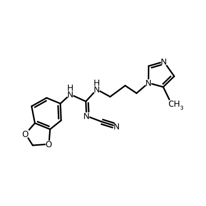 Cc1cncn1CCCNC(=NC#N)Nc1ccc2c(c1)OCO2